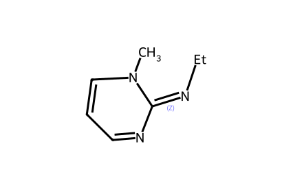 CC/N=c1/ncccn1C